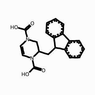 O=C(O)N1C=CN(C(=O)O)C(CC2c3ccccc3-c3ccccc32)C1